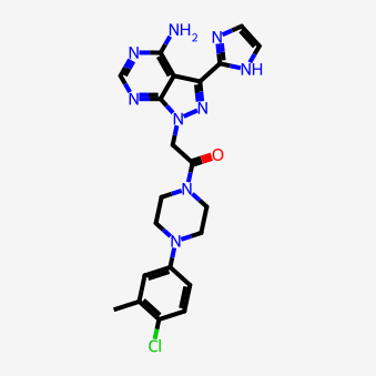 Cc1cc(N2CCN(C(=O)Cn3nc(-c4ncc[nH]4)c4c(N)ncnc43)CC2)ccc1Cl